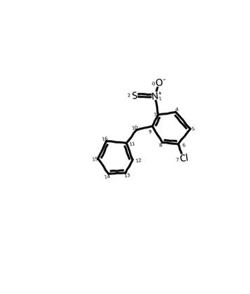 [O-][N+](=S)c1ccc(Cl)cc1Cc1ccccc1